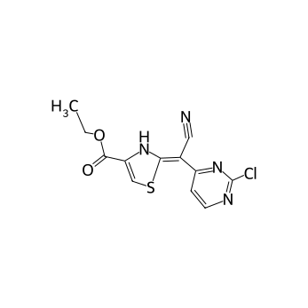 CCOC(=O)C1=CSC(=C(C#N)c2ccnc(Cl)n2)N1